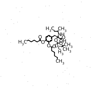 CCCCCC(=O)Oc1ccc(C[C@](NC(C)CC)(OC(=O)OC(C)(C)C)C(=O)O)cc1OC(=O)CCCCC